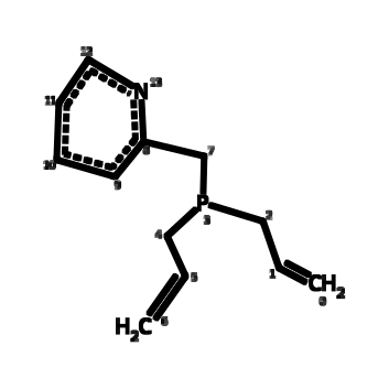 C=CCP(CC=C)Cc1ccccn1